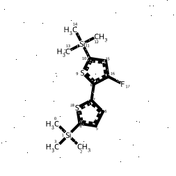 C[Si](C)(C)c1ccc(-c2sc([Si](C)(C)C)cc2F)s1